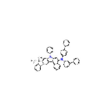 CC1(C)c2ccccc2-c2cc3c4c5ccccc5c(N(c5ccc(-c6ccccc6)cc5)c5cccc(-c6ccccc6)c5)cc4n(-c4ccccc4)c3cc21